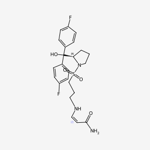 NC(=O)/C=C\NCCCS(=O)(=O)N1CCC[C@@H]1C(O)(c1ccc(F)cc1)c1ccc(F)cc1